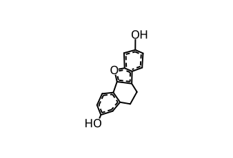 Oc1ccc2c(c1)CCc1c-2oc2cc(O)ccc12